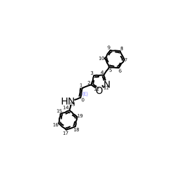 C(=C\c1cc(-c2ccccc2)no1)/Nc1ccccc1